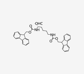 O=[C][C@H](CCCCNC(=O)OCC1c2ccccc2-c2ccccc21)NC(=O)OCC1c2ccccc2-c2ccccc21